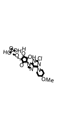 COC1CCN(c2nc(Cl)nc3c2ncn3[C@H]2C(=O)[C@H](COCP(=O)(O)O)[C@H](O)[C@@H]2O)CC1